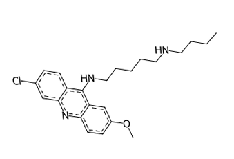 CCCCNCCCCCNc1c2ccc(Cl)cc2nc2ccc(OC)cc12